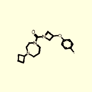 O=C(N1CCCN(C2CCC2)CC1)N1CC(Oc2ccc(I)cc2)C1